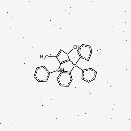 CC1=CC(C)[C]([Pt]([c]2ccccc2)([c]2ccccc2)[c]2ccccc2)=C1[SiH2]c1ccccc1